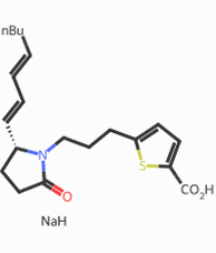 CCCC/C=C/C=C/[C@H]1CCC(=O)N1CCCc1ccc(C(=O)O)s1.[NaH]